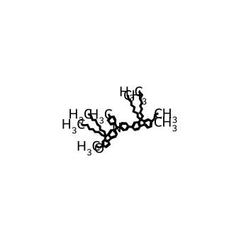 CCCCCCCCC1(CCCCCCCC)c2cc(-c3ccc(N(c4ccc(C)cc4)c4ccc5c(c4)C(CCCCCCCC)(CCCCCCCC)c4cc(OC)ccc4-5)cc3)ccc2-c2ccc(C(C)CC)cc21